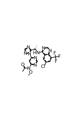 CON(C(C)=O)c1cc(-n2ncnc2[C@H](C)Nc2ncnc3c(C(F)(F)F)cc(Cl)cc23)ncn1